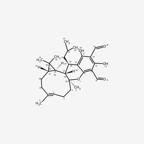 C/C1=C\CC[C@]2(C)Oc3c(C=O)c(O)c(C=O)c(O)c3[C@H](CC(C)C)[C@H]2[C@H]2[C@H](CC1)C2(C)C